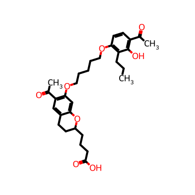 CCCc1c(OCCCCCOc2cc3c(cc2C(C)=O)CCC(CCCC(=O)O)O3)ccc(C(C)=O)c1O